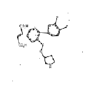 Fc1ccc(-c2ncccc2COC2CCNC2)cc1F.O=C(O)C=CC(=O)O